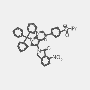 CC(C)S(=O)(=O)c1ccc(-c2cnc3c(n2)c(N2Cc4cccc([N+](=O)[O-])c4C2=O)cn3C(c2ccccc2)(c2ccccc2)c2ccccc2)cc1